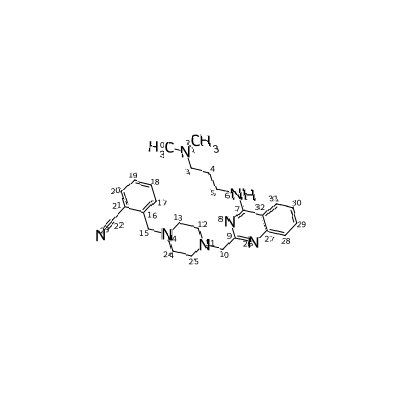 CN(C)CCCNc1nc(CN2CCN(Cc3ccccc3C#N)CC2)nc2ccccc12